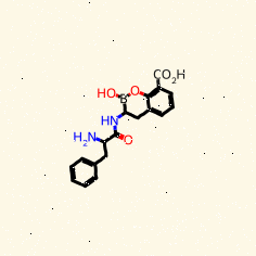 NC(Cc1ccccc1)C(=O)NC1Cc2cccc(C(=O)O)c2OB1O